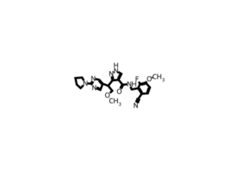 COCC(c1cnc(N2CCCC2)nc1)c1n[nH]cc1C(=O)NCc1c(C#N)ccc(OC)c1F